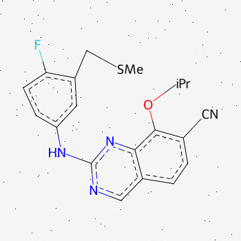 CSCc1cc(Nc2ncc3ccc(C#N)c(OC(C)C)c3n2)ccc1F